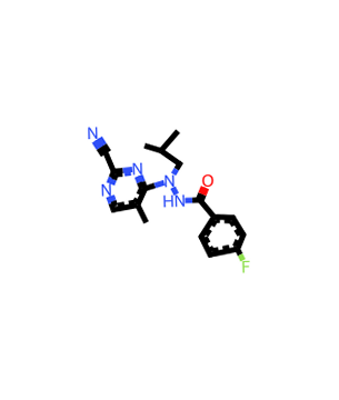 Cc1cnc(C#N)nc1N(CC(C)C)NC(=O)c1ccc(F)cc1